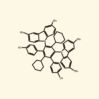 CC(C)(C)c1ccc2c(c1)c1cc(C(C)(C)C)ccc1n2-c1c(-c2ccc(C#N)cc2)c(C2CCCCC2)c(-c2ccc(C#N)cc2)c(-n2c3ccc(C(C)(C)C)cc3c3cc(C(C)(C)C)ccc32)c1C1CCCCC1